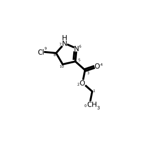 CCOC(=O)C1=NNC(Cl)C1